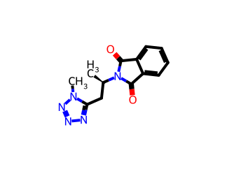 C[C@H](Cc1nnnn1C)N1C(=O)c2ccccc2C1=O